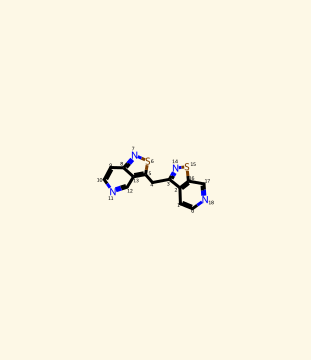 c1cc2c(Cc3snc4ccncc34)nsc2cn1